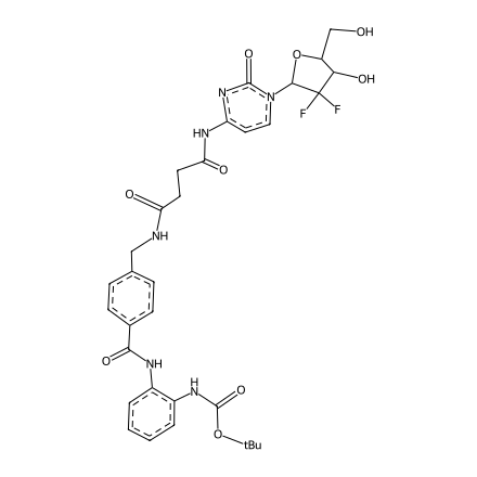 CC(C)(C)OC(=O)Nc1ccccc1NC(=O)c1ccc(CNC(=O)CCC(=O)Nc2ccn(C3OC(CO)C(O)C3(F)F)c(=O)n2)cc1